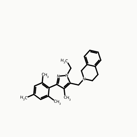 CCn1nc(-c2c(C)cc(C)cc2C)c(C)c1CN1CCc2ccccc2C1